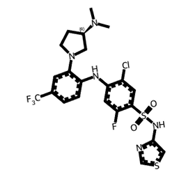 CN(C)[C@@H]1CCN(c2cc(C(F)(F)F)ccc2Nc2cc(F)c(S(=O)(=O)Nc3cscn3)cc2Cl)C1